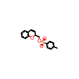 Cc1ccc(S(=O)(=O)OCC2C=Cc3ccccc3O2)cc1